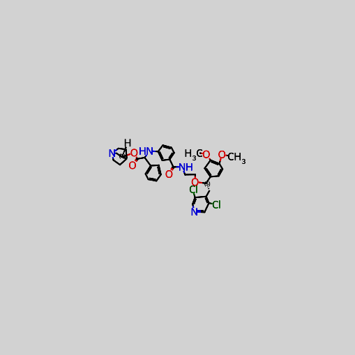 COc1ccc([C@H](Cc2c(Cl)cncc2Cl)OCCNC(=O)c2cccc(NC(C(=O)O[C@H]3CN4CCC3CC4)c3ccccc3)c2)cc1OC